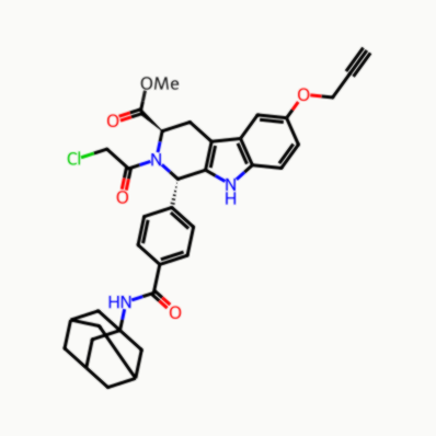 C#CCOc1ccc2[nH]c3c(c2c1)C[C@H](C(=O)OC)N(C(=O)CCl)[C@H]3c1ccc(C(=O)NC23CC4CC(CC(C4)C2)C3)cc1